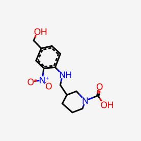 O=C(O)N1CCCC(CNc2ccc(CO)cc2[N+](=O)[O-])C1